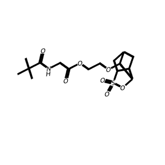 CC(C)(C)C(=O)NCC(=O)OCCOC1C2CC3C1OS(=O)(=O)C3C2